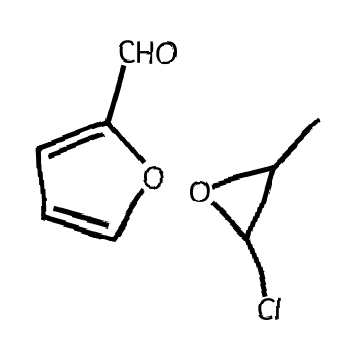 CC1OC1Cl.O=Cc1ccco1